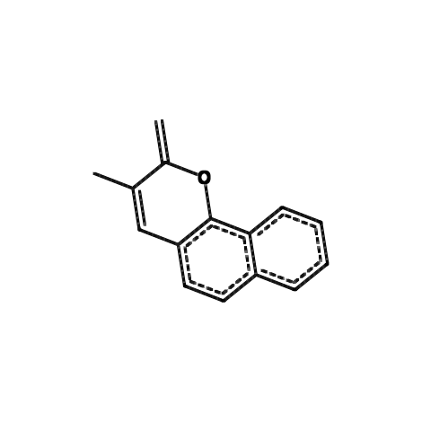 C=C1Oc2c(ccc3ccccc23)C=C1C